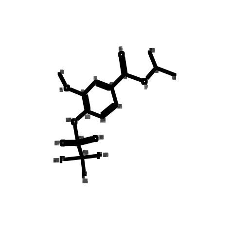 COc1cc(C(=O)OC(C)C)ccc1OS(=O)(=O)C(F)(F)F